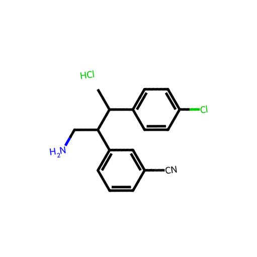 CC(c1ccc(Cl)cc1)C(CN)c1cccc(C#N)c1.Cl